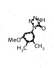 COc1cc(-n2nn[nH]c2=O)cc(C)c1C